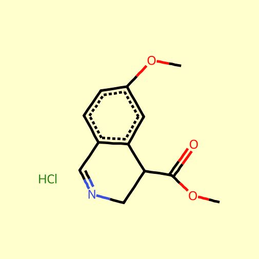 COC(=O)C1CN=Cc2ccc(OC)cc21.Cl